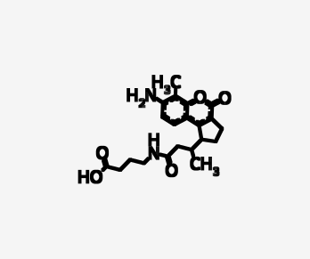 Cc1c(N)ccc2c3c(c(=O)oc12)CCC3C(C)CC(=O)NCCCC(=O)O